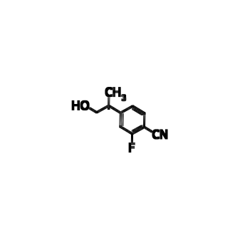 C[C](CO)c1ccc(C#N)c(F)c1